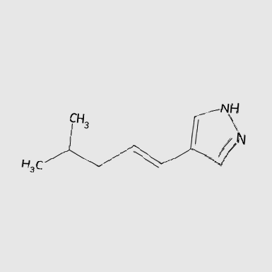 CC(C)C/C=C/c1cn[nH]c1